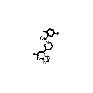 Cc1cc(C2CCCN(C(=O)c3cc(F)ccc3C)C2)n2ncnc2n1